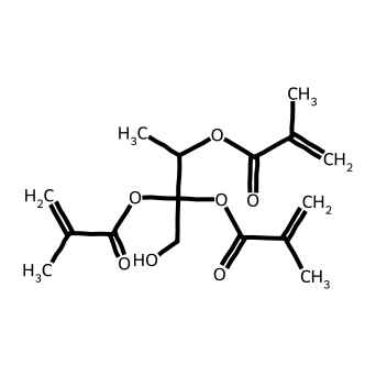 C=C(C)C(=O)OC(C)C(CO)(OC(=O)C(=C)C)OC(=O)C(=C)C